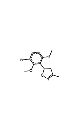 COc1c(Br)ccc(SC)c1C1CC(C)=NO1